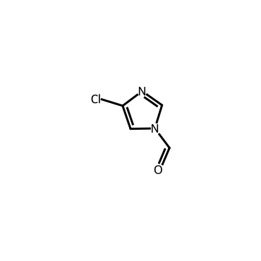 O=Cn1cnc(Cl)c1